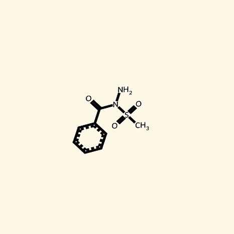 CS(=O)(=O)N(N)C(=O)c1ccccc1